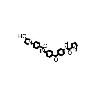 Cn1cccc1C(=O)Nc1ccc(C(=O)c2ccc(NC(=O)c3ccc(N4CC[C@@H](O)C4)cc3)cc2)cc1